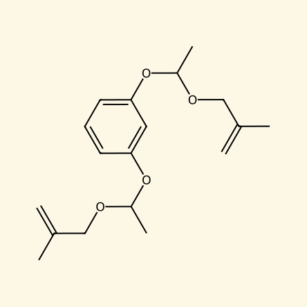 C=C(C)COC(C)Oc1cccc(OC(C)OCC(=C)C)c1